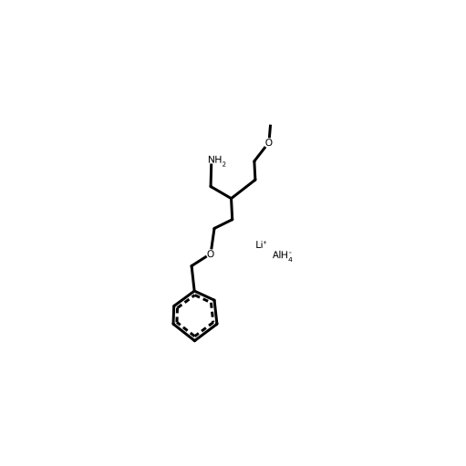 COCCC(CN)CCOCc1ccccc1.[AlH4-].[Li+]